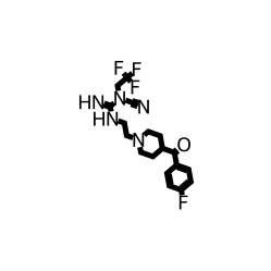 N#CN(CC(F)(F)F)C(=N)NCCN1CCC(C(=O)c2ccc(F)cc2)CC1